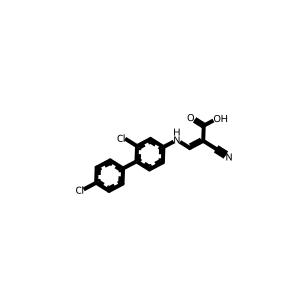 N#CC(=CNc1ccc(-c2ccc(Cl)cc2)c(Cl)c1)C(=O)O